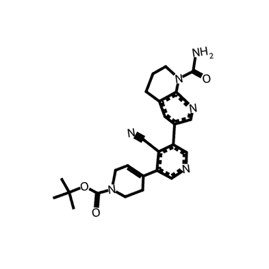 CC(C)(C)OC(=O)N1CC=C(c2cncc(-c3cnc4c(c3)CCCN4C(N)=O)c2C#N)CC1